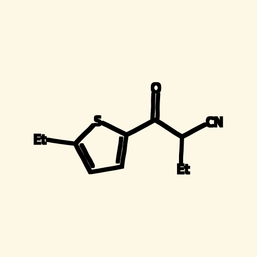 CCc1ccc(C(=O)C(C#N)CC)s1